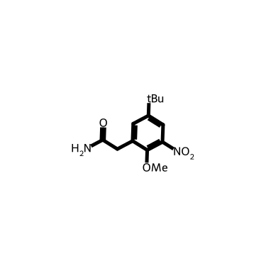 COc1c(CC(N)=O)cc(C(C)(C)C)cc1[N+](=O)[O-]